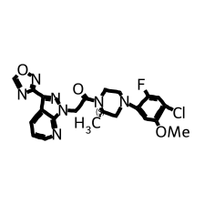 COc1cc(N2CCN(C(=O)Cn3nc(-c4ncon4)c4cccnc43)[C@@H](C)C2)c(F)cc1Cl